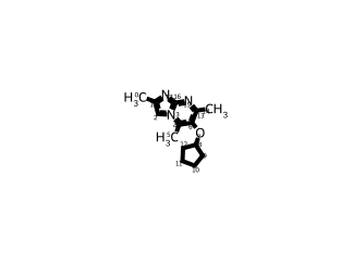 Cc1cn2c(C)c(OC3CCCC3)c(C)nc2n1